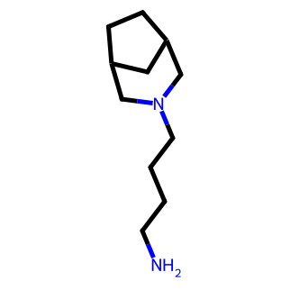 NCCCCN1CC2CCC(C2)C1